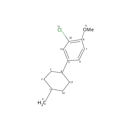 [CH2]C1CCC(c2ccc(OC)c(Cl)c2)CC1